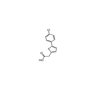 O=C(O)Cc1ccc(-c2ccc(Cl)cc2)s1